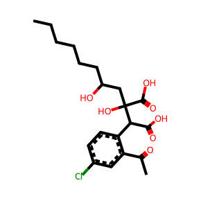 CCCCCCC(O)CC(O)(C(=O)O)C(C(=O)O)c1ccc(Cl)cc1C(C)=O